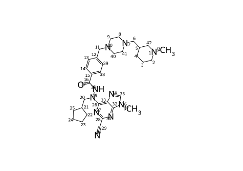 CN1CCCC(CN2CCN(Cc3ccc(C(=O)NN(CC4CCCC4)c4nc(C#N)nc5c4ncn5C)cc3)CC2)C1